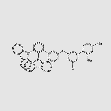 CC(C)(C)c1ccc(-c2cc(Cl)cc(Oc3cccc(-c4cccc(-n5c6ccccc6c6ccccc65)c4-n4c5ccccc5c5ccccc54)c3)c2)c(C(C)(C)C)c1